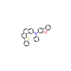 c1ccc(N(c2ccc3c(c2)oc2ccccc23)c2ccc3ccc4ccc5c6ccccc6sc5c4c3c2)cc1